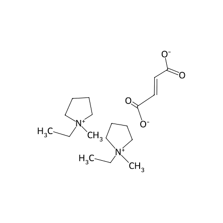 CC[N+]1(C)CCCC1.CC[N+]1(C)CCCC1.O=C([O-])C=CC(=O)[O-]